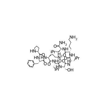 CC(C)C[C@H](NC(=O)[C@H](CCCCN)NC(=O)[C@H](CC(C)C)NC(=O)[C@H](CO)NC(=O)[C@H](CC(C)C)NC(=O)[C@H](CCCN)NC(=O)[C@H](Cc1ccccc1)NC(=O)[C@@H]1CCCN1)C(N)=O